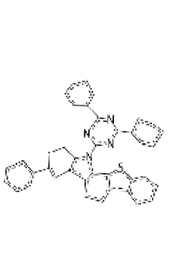 C1=C(c2ccccc2)CCc2c1c1ccc3c4ccccc4sc3c1n2-c1nc(-c2ccccc2)nc(-c2ccccc2)n1